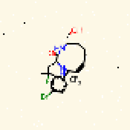 CC(C)(F)C[C@@H]1N[C@@](c2ccc(Br)cc2)(C(F)(F)F)C#CCCC[C@@H](CO)NC1=O